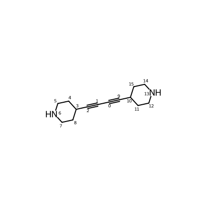 C(C#CC1CCNCC1)#CC1CCNCC1